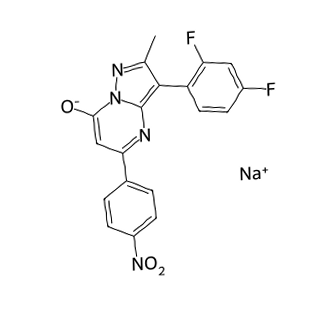 Cc1nn2c([O-])cc(-c3ccc([N+](=O)[O-])cc3)nc2c1-c1ccc(F)cc1F.[Na+]